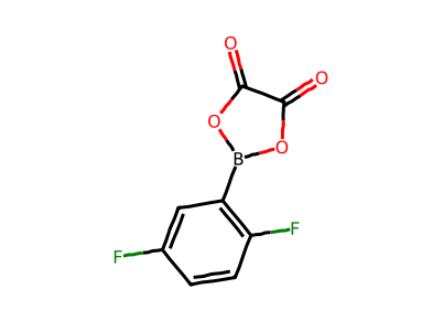 O=C1OB(c2cc(F)ccc2F)OC1=O